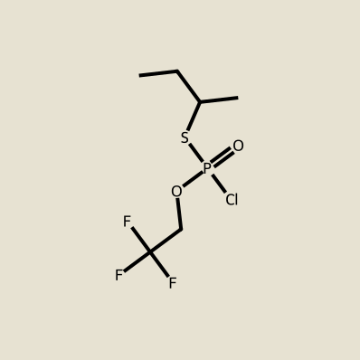 CCC(C)SP(=O)(Cl)OCC(F)(F)F